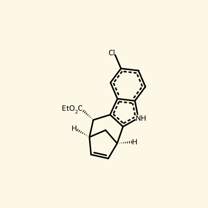 CCOC(=O)[C@@H]1c2c([nH]c3ccc(Cl)cc23)[C@H]2C=C[C@@H]1C2